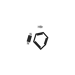 Br.N#N.c1ccccc1